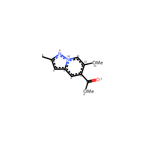 COC(=O)c1cc2cc(C)nn2cc1OC